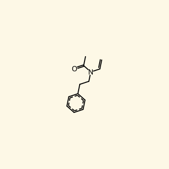 C=CN(CCc1ccccc1)C(C)=O